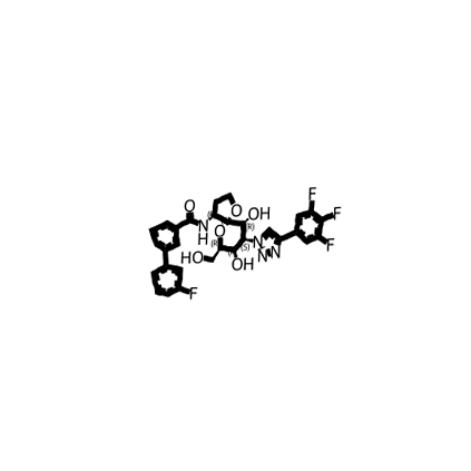 O=C(N[C@@H]1CCO[C@]12O[C@H](CO)[C@H](O)[C@H](n1cc(-c3cc(F)c(F)c(F)c3)nn1)[C@H]2O)c1cccc(-c2cccc(F)c2)c1